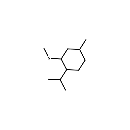 CSC1CC(C)CCC1C(C)C